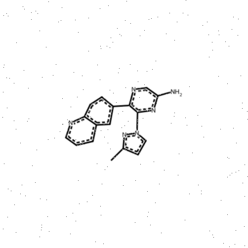 Cc1ccn(-c2nc(N)cnc2-c2ccc3ncccc3c2)n1